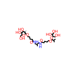 CC(CNC(=O)CCCCO[C@H](OC(CO)[C@H](O)CO)C(C)C)CNC(=O)CCCCO[C@@H]1OC(CO)[C@H](O)C(O)[C@@H]1C